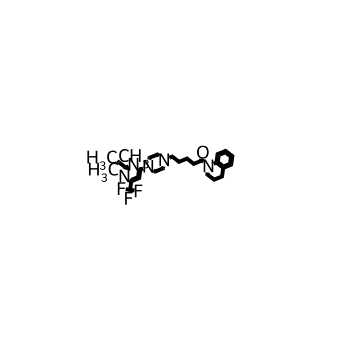 CC(C)(C)c1nc(N2CCN(CCCCC(=O)N3CCCc4ccccc43)CC2)cc(C(F)(F)F)n1